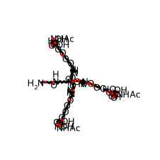 CC(=O)N[C@H]1[C@@H]2OC[C@](COCCOCCOCCOCCn3cc(COCC(COCc4cn(CCOCCOCCOCCOC[C@@]56CO[C@@H](O5)[C@H](NC(C)=O)[C@@H](O)[C@H]6O)nn4)(COCc4cn(CCOCCOCCOCCOC[C@@]56OO[C@@H](O5)[C@H](NC(C)=O)[C@@H](O)[C@H]6O)nn4)NC(=O)CCCCCNC(=O)CCCCCN)nn3)(O2)[C@H](O)[C@@H]1O